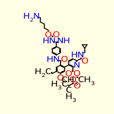 C=Cc1cc(C(=O)Nc2ccc(C(=N)NC(=O)OCCCCCN)cc2)c(-c2ccc(C(=O)NCC3CC3)nc2C(=O)OC(C)OC(=O)C(C)C)cc1OC